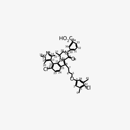 Cc1cc(OCCCc2c3n(c4c(-c5c(C)nn(C)c5C)c(Cl)ccc24)C(C)CN(c2cccc(C(=O)O)c2)C3=O)cc(C)c1Cl